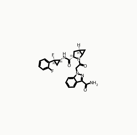 NC(=O)c1nn(CC(=O)N2C3C[C@@H]3C[C@H]2C(=O)N[C@@H]2C[C@@]2(F)c2ccccc2F)c2ccccc12